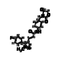 Cn1ncc(/C=C/C(=O)Nc2ccc(CN3C(=O)COC3=O)cc2)c1-c1ccc(F)cc1